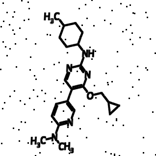 CC1CCC(Nc2ncc(-c3ccc(N(C)C)nc3)c(OCC3CC3)n2)CC1